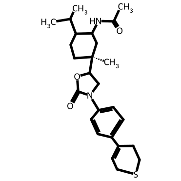 CC(=O)NC1C[C@@](C)(C2CN(c3ccc(C4=CCSCC4)cc3)C(=O)O2)CCC1C(C)C